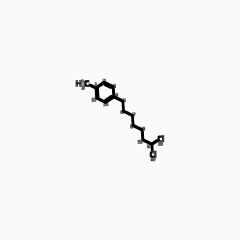 Cc1ccc(CCCCCCC(Cl)Cl)cc1